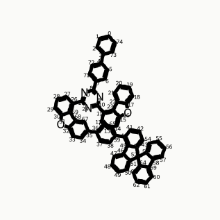 c1ccc(-c2ccc(-c3nc(-c4cccc5oc6ccccc6c45)nc(-c4cccc5oc6ccc(-c7ccc(-c8cccc9c8-c8ccccc8C98c9ccccc9-c9ccccc98)cc7)cc6c45)n3)cc2)cc1